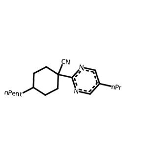 CCCCCC1CCC(C#N)(c2ncc(CCC)cn2)CC1